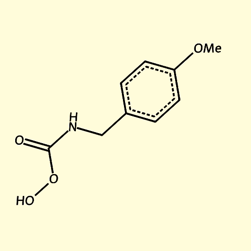 COc1ccc(CNC(=O)OO)cc1